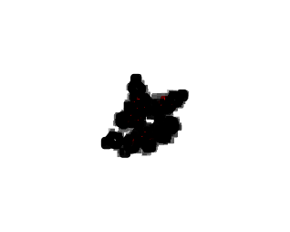 C[Si](C)(CCC1CCC2OC2C1)O[Si]1(c2ccccc2)OC(c2ccccc2)[Si]2(OC3O[Si](O[Si](C)(C)CCC4CCC5OC5C4)(c4ccccc4)O[Si]3(c3ccccc3)O[Si](O[Si](C)(C)CCC3CCC4OC4C3)(c3ccccc3)O[SiH](c3ccccc3)O[SiH](c3ccccc3)O[Si](O[Si](C)(C)CCC3CCC4OC4C3)(c3ccccc3)O2)O1